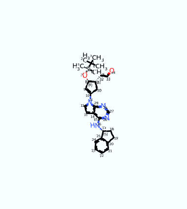 CC(C)(C)[Si](C)(C)O[C@H]1C=C(n2ccc3c(N[C@H]4CCc5ccccc54)ncnc32)C[C@H]1CC=O